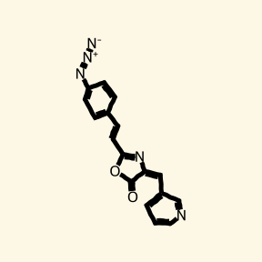 [N-]=[N+]=Nc1ccc(C=CC2=NC(=Cc3cccnc3)C(=O)O2)cc1